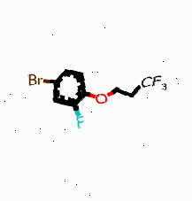 Fc1cc(Br)ccc1OCCC(F)(F)F